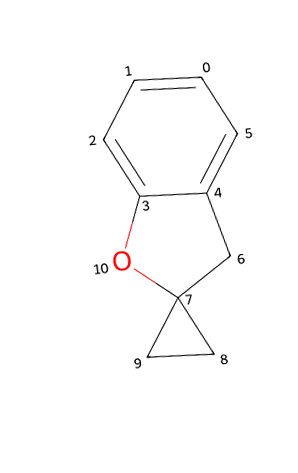 c1ccc2c(c1)CC1(CC1)O2